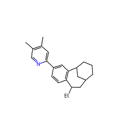 CCC1CC2CCCC(C2)c2cc(-c3cc(C)c(C)cn3)ccc21